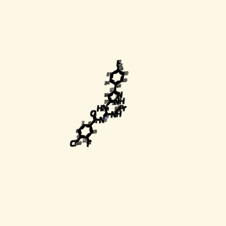 CC(C)N/C(=N/C(=O)c1ccc(Cl)c(F)c1)Nc1cc(-c2ccc(F)cc2)n[nH]1